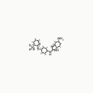 Nc1ccc2[nH]c(Nc3ccc(Oc4ncccc4C(F)(F)F)cc3)nc2c1